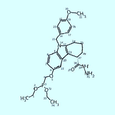 CCOP(COc1ccc2c(c1)c1c(n2Cc2ccc(OC)cc2)CCC[C@@H]1C(=O)NN)OCC